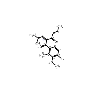 CCOC(=O)/C(=C/N(C)C)C(=O)c1ccc(F)c(OC)c1C